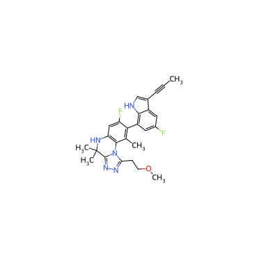 CC#Cc1c[nH]c2c(-c3c(F)cc4c(c3C)-n3c(CCOC)nnc3C(C)(C)N4)cc(F)cc12